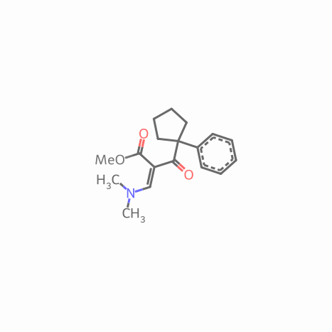 COC(=O)C(=CN(C)C)C(=O)C1(c2ccccc2)CCCC1